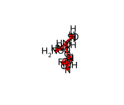 COC(=O)C1=C(COCc2cn(CCOCCOCCNC(=O)[C@H](CCCCNC(=O)c3ccc(N)cc3)NC(=O)CCCC[C@@H]3SC[C@@H]4NC(=O)N[C@@H]43)nn2)NC(c2ccncc2)=NC1c1ccc(F)cc1Cl